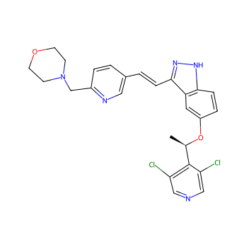 C[C@@H](Oc1ccc2[nH]nc(/C=C/c3ccc(CN4CCOCC4)nc3)c2c1)c1c(Cl)cncc1Cl